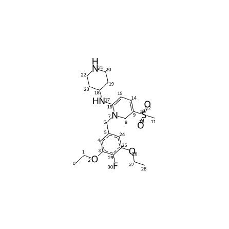 CCOc1cc(CN2CC(S(C)(=O)=O)=CC=C2NC2CCNCC2)cc(OCC)c1F